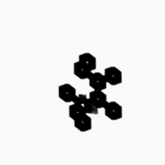 c1ccc(C2=NC(c3cc(-c4ccccc4)cc(-c4cc(-c5ccccc5)cc(-c5cccc6ccccc56)c4)c3)Nc3c2ccc2ccccc32)cc1